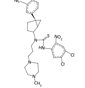 CN1CCN(CCCN(C(=S)Nc2cc(Cl)c(Cl)cc2[N+](=O)[O-])C2CC[C@]3(c4cccc(C#N)c4)CC23)CC1